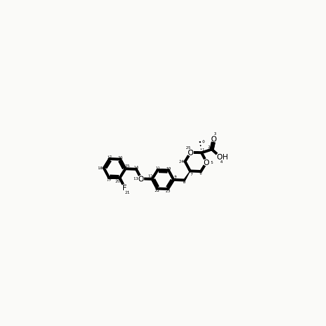 C[C@]1(C(=O)O)OC[C@@H](Cc2ccc(OCc3ccccc3F)cc2)CO1